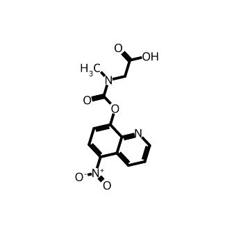 CN(CC(=O)O)C(=O)Oc1ccc([N+](=O)[O-])c2cccnc12